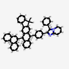 CC1(C)c2ccccc2-c2cc3c(-c4cc5ccccc5c5ccccc45)c4ccccc4c(-c4ccc(-c5nc6ccccn6c5-c5ccccc5)cc4)c3cc21